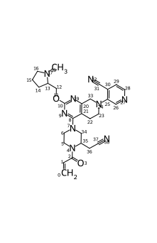 C=CC(=O)N1CCN(c2nc(OCC3CCCN3C)nc3c2CCN(c2cnccc2C#N)C3)CC1CC#N